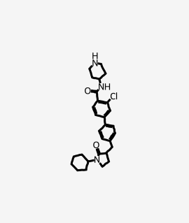 O=C(NC1CCNCC1)c1ccc(-c2ccc(CC3CCN(C4CCCCC4)C3=O)cc2)cc1Cl